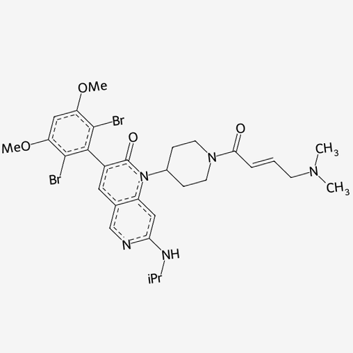 COc1cc(OC)c(Br)c(-c2cc3cnc(NC(C)C)cc3n(C3CCN(C(=O)/C=C/CN(C)C)CC3)c2=O)c1Br